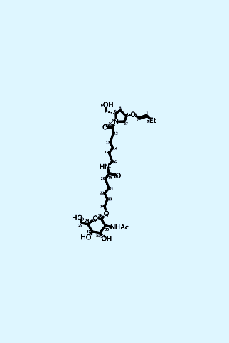 CC/C=C/O[C@@H]1C[C@@H](CO)N(C(=O)CCCCCNC(=O)CCCCCOC2OC(CO)C(O)C(O)C2NC(C)=O)C1